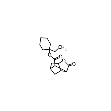 CCC1(OC(=O)C2C3CC4OC(=O)C2C4C3)CCCCC1